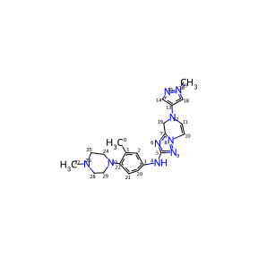 Cc1cc(Nc2nc3n(n2)C=CN(c2cnn(C)c2)C3)ccc1N1CCN(C)CC1